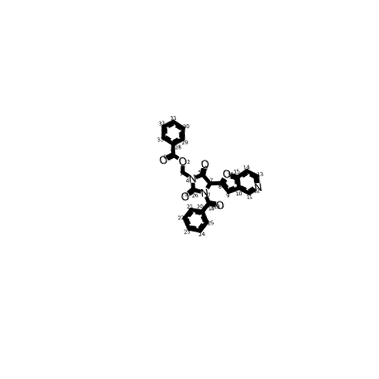 O=C(OCN1C(=O)C(c2cc3cnccc3o2)N(C(=O)c2ccccc2)C1=O)c1ccccc1